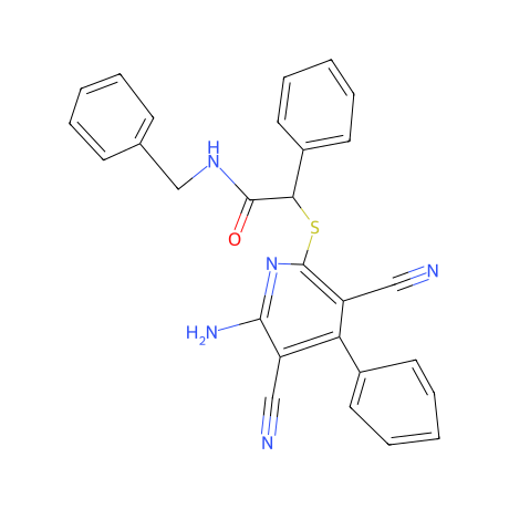 N#Cc1c(N)nc(SC(C(=O)NCc2ccccc2)c2ccccc2)c(C#N)c1-c1ccccc1